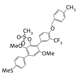 COc1cc(-c2ccc(SC)cc2)c(OC)c(OS(C)(=O)=O)c1-c1ccc(OCc2ccc(C)cc2)c(C(F)(F)F)c1